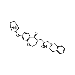 O=C1c2ccc(OC3CC4CCC(C3)N4)cc2OCCN1CC(O)CN1CCc2ccccc2C1